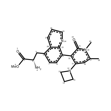 COC(=O)[C@@H](N)Cc1ccc(-c2c(N3CCC3)cc(C)n(C)c2=O)c2ncccc12